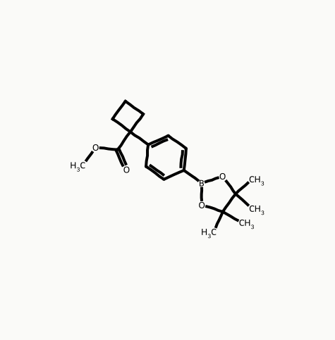 COC(=O)C1(c2ccc(B3OC(C)(C)C(C)(C)O3)cc2)CCC1